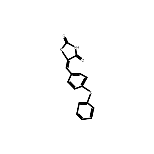 O=C1NC(=O)/C(=C\c2ccc(Oc3ccccc3)cc2)S1